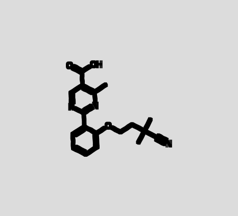 Cc1nc(-c2ccccc2OCCC(C)(C)C#N)ncc1C(=O)O